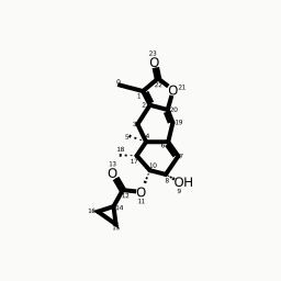 CC1=C2C[C@@]3(C)C(=C[C@H](O)[C@H](OC(=O)C4CC4)[C@@H]3C)C=C2OC1=O